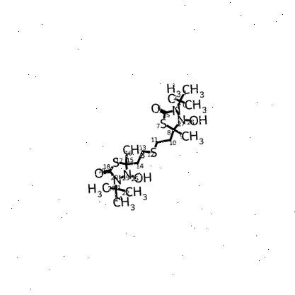 CC(C)(C)N1C(=O)SC(C)(CCSCCC2(C)SC(=O)N(C(C)(C)C)N2O)N1O